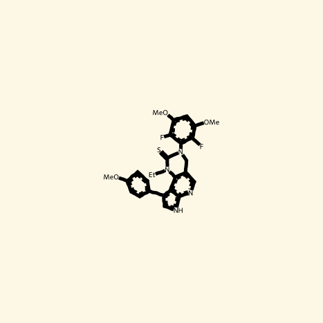 CCN1C(=S)N(c2c(F)c(OC)cc(OC)c2F)Cc2cnc3[nH]cc(-c4ccc(OC)cc4)c3c21